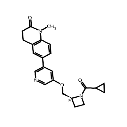 CN1C(=O)CCc2cc(-c3cncc(OC[C@@H]4CCN4C(=O)C4CC4)c3)ccc21